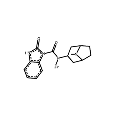 CC(C)N(C(=O)n1c(=O)[nH]c2ccccc21)C1CC2CCC(C1)N2C